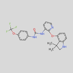 CC1(C)CNc2cccc(Oc3ncccc3NC(=O)Nc3ccc(OC(F)(F)F)cc3)c21